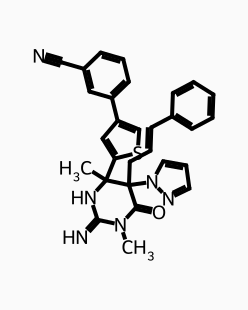 CN1C(=N)NC(C)(c2cc(-c3cccc(C#N)c3)cs2)C(C/C=C/c2ccccc2)(n2cccn2)C1=O